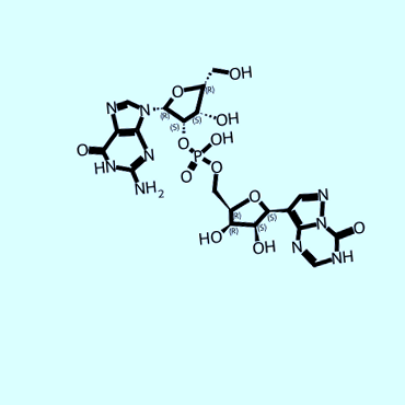 Nc1nc2c(ncn2[C@@H]2O[C@H](CO)[C@H](O)[C@@H]2OP(=O)(O)OC[C@H]2O[C@@H](c3cnn4c(=O)[nH]cnc34)[C@@H](O)[C@H]2O)c(=O)[nH]1